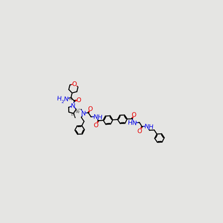 C[C@H]1CCN(C(=O)[C@@H](N)C2CCOCC2)[C@@H]1CN(CCc1ccccc1)C(=O)CNC(=O)c1ccc(-c2ccc(C(=O)NCC(=O)NCCc3ccccc3)cc2)cc1